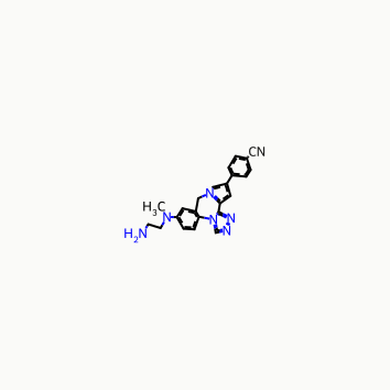 CN(CCN)c1ccc2c(c1)Cn1cc(-c3ccc(C#N)cc3)cc1-c1nncn1-2